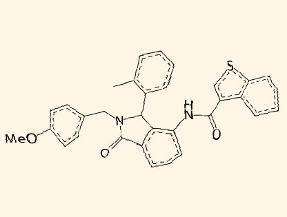 COc1ccc(CN2C(=O)c3cccc(NC(=O)c4csc5ccccc45)c3C2c2ccccc2C)cc1